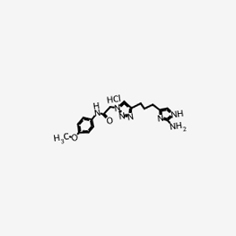 COc1ccc(NC(=O)Cn2cc(CCCc3c[nH]c(N)n3)nn2)cc1.Cl